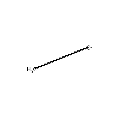 CCCCCCCCCCCCCCCCCCCCCCCCCCCCCCCCCCCC[O]